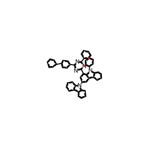 c1ccc(-c2ccc(-c3nc(-c4ccccc4)nc(-c4cc(-n5c6ccccc6c6ccccc65)cc5c6ccccc6n(-c6ccccc6)c45)n3)cc2)cc1